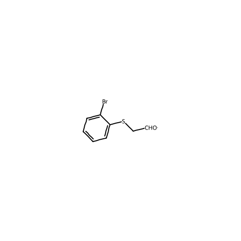 O=[C]CSc1ccccc1Br